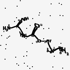 BNPOC(=O)NC(=N)N